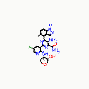 Cc1ccc2[nH]ncc2c1-c1nc(-c2cc(F)cnc2N[C@@H]2CCOC[C@H]2O)nc(C(N)=O)c1N